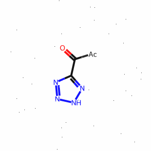 CC(=O)C(=O)c1nn[nH]n1